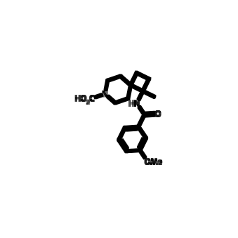 COc1cccc(C(=O)NC2(C)CCC23CCN(C(=O)O)CC3)c1